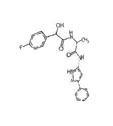 CC(NC(=O)C(O)c1ccc(F)cc1)C(=O)Nc1cc(-c2ccccc2)n[nH]1